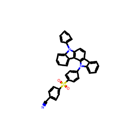 N#Cc1ccc(S(=O)(=O)c2ccc(-n3c4ccccc4c4ccc5c(c6ccccc6n5-c5ccccc5)c43)cc2)cc1